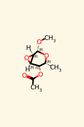 CO[C@@H]1O[C@H](C)[C@H](OC(C)=O)[C@H]2O[C@@H]12